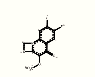 O=C(O)Oc1c2n(c3cc(F)c(F)cc3c1=O)CS2